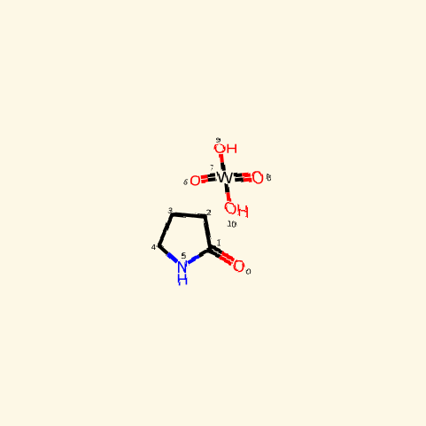 O=C1CCCN1.[O]=[W](=[O])([OH])[OH]